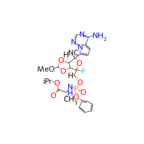 COC1O[C@@H]2[C@H](O1)[C@@](F)(COP(=O)(N[C@H](C)C(=O)OC(C)C)Oc1ccccc1)O[C@@]2(C#N)c1ccc2c(N)ncnn12